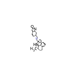 CC1CCc2ccccc2C1NC(=O)/C=C/c1ccc2c(c1)=NC(=O)C=2